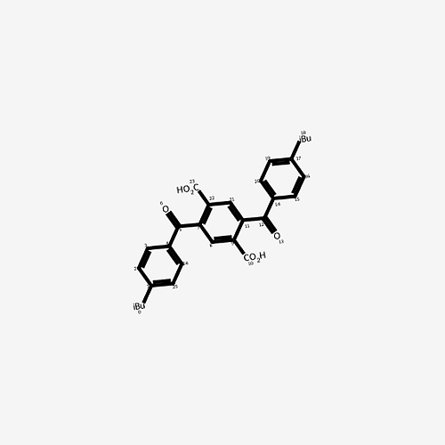 CCC(C)c1ccc(C(=O)c2cc(C(=O)O)c(C(=O)c3ccc(C(C)CC)cc3)cc2C(=O)O)cc1